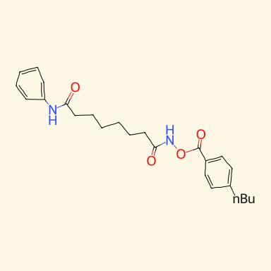 CCCCc1ccc(C(=O)ONC(=O)CCCCCCC(=O)Nc2ccccc2)cc1